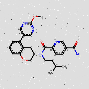 COc1ncc(-c2cccc3c2C[C@H](N(CCC(C)C)C(=O)c2ccc(C(N)=O)cn2)CO3)cn1